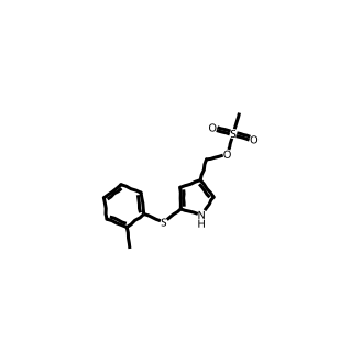 Cc1ccccc1Sc1cc(COS(C)(=O)=O)c[nH]1